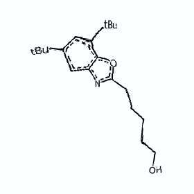 CC(C)(C)c1cc(C(C)(C)C)c2oc(CCCCCO)nc2c1